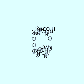 COC(=O)N[C@@H](Cc1cn(Cc2ccccc2)cn1)C(=O)N1CCCC1c1ncc(-c2ccc(-c3ccc(-c4cnc([C@@H]5CCCN5C(=O)[C@H](Cc5c[nH]c(Cc6ccccc6)n5)NC(=O)O)[nH]4)cc3)cc2)[nH]1